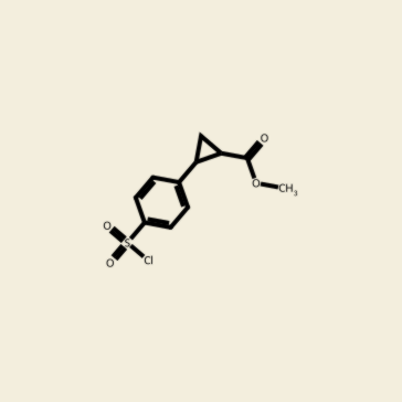 COC(=O)C1CC1c1ccc(S(=O)(=O)Cl)cc1